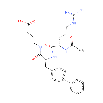 CC(=O)N[C@@H](CCCNC(=N)N)C(=O)N[C@@H](Cc1ccc(-c2ccccc2)cc1)C(=O)NCCCC(=O)O